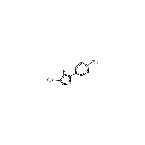 O=[N+]([O-])c1ccc(-c2ncc([N+](=O)[O-])[nH]2)cc1